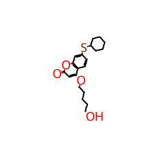 O=c1cc(OCCCCCO)c2ccc(SC3CCCCC3)cc2o1